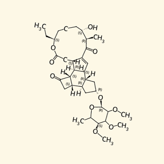 CC[C@H]1CCC[C@H](O)[C@@H](C)C(=O)C2=C[C@H]3[C@@H]4C[C@H](O[C@@H]5OC(C)[C@H](OC)C(OC)C5OC)C[C@H]4[C@@H]4CC(=O)[C@@H]4[C@H]3[C@@H]2CC(=O)O1